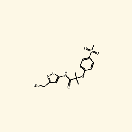 CC(C)(C)Cc1cc(NC(=O)C(C)(C)Sc2ccc(S(C)(=O)=O)cc2)on1